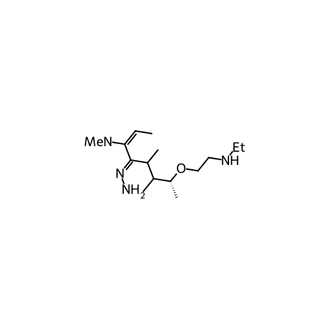 C/C=C(NC)\C(=N\N)C(C)C(C)[C@@H](C)OCCNCC